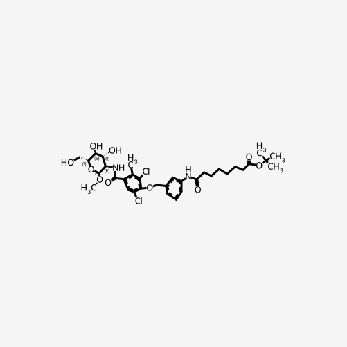 CO[C@H]1O[C@H](CO)[C@@H](O)[C@H](O)[C@H]1NC(=O)c1cc(Cl)c(OCc2cccc(NC(=O)CCCCCCC(=O)OC(C)(C)C)c2)c(Cl)c1C